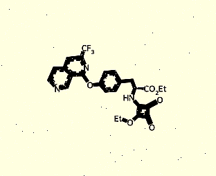 CCOC(=O)[C@H](Cc1ccc(Oc2nc(C(F)(F)F)cc3ccncc23)cc1)Nc1c(OCC)c(=O)c1=O